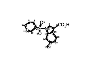 O=C(O)c1cn(S(=O)(=O)c2cccnc2)c2cc(Br)ccc12